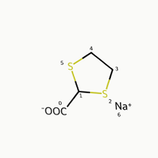 O=C([O-])C1SCCS1.[Na+]